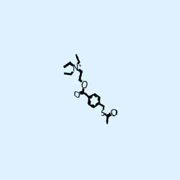 CC[N+](CC)(CC)CCOC(=O)c1ccc(CSC(C)=O)cc1